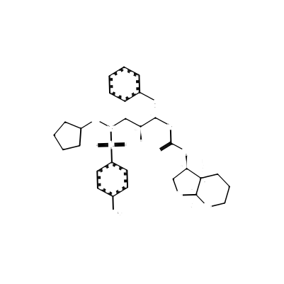 COc1ccc(S(=O)(=O)N(C[C@H](O)[C@H](Cc2ccccc2)NC(=O)O[C@@H]2CO[C@@H]3OCCC[C@@H]32)OC2CCCC2)cc1